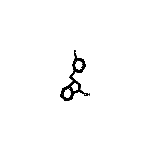 OC1CC(Cc2cccc(F)c2)c2ccccc21